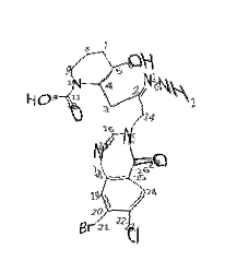 N/N=C(/CC1C(O)CCCN1C(=O)O)Cn1cnc2cc(Br)c(Cl)cc2c1=O